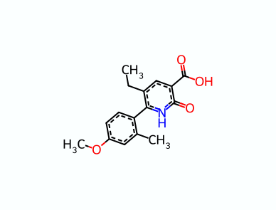 CCc1cc(C(=O)O)c(=O)[nH]c1-c1ccc(OC)cc1C